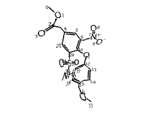 COC(=O)c1cc([N+](=O)[O-])c(Oc2ccc(OC)cc2)c(S(N)(=O)=O)c1